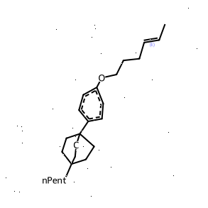 C/C=C/CCCOc1ccc(C23CCC(CCCCC)(CC2)CC3)cc1